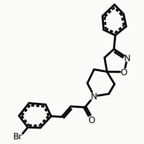 O=C(/C=C/c1cccc(Br)c1)N1CCC2(CC1)CC(c1ccccc1)=NO2